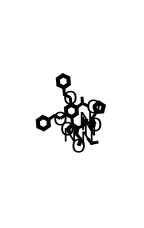 CCNC(=O)c1noc(-c2cc(C(C)C)c(OCc3ccccc3)cc2OCc2ccccc2)c1-c1noc(-c2ccco2)n1